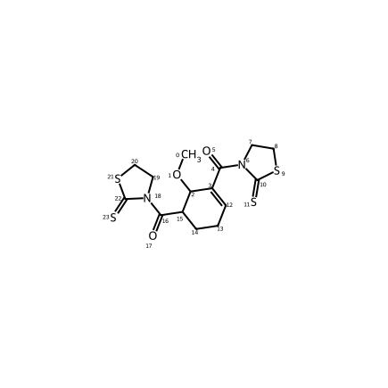 COC1C(C(=O)N2CCSC2=S)=CCCC1C(=O)N1CCSC1=S